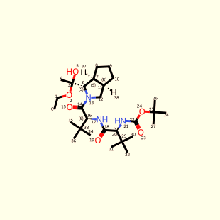 CCOC(C)(O)[C@@H]1[C@H]2CCC[C@H]2CN1C(=O)[C@@H](NC(=O)[C@@H](NC(=O)OC(C)(C)C)C(C)(C)C)C(C)(C)C